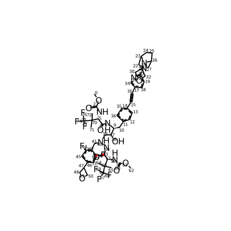 COC(=O)N[C@H](C(=O)N[C@@H](Cc1ccc(C#Cc2ccc(N3CC4CCC(C3)N4C3COC3)nc2)cc1)[C@@H](O)CN(Cc1c(F)cc(C2COC2)cc1F)NC(=O)[C@@H](NC(=O)OC)C(C)(C)C(F)(F)F)C(C)(C)C(F)(F)F